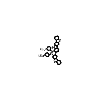 CC(C)(C)c1ccc(N2B3c4cc(C(C)(C)C)ccc4-n4c5cc6c(cc5c5ccc(c3c54)-c3cc4c(cc32)sc2ccccc24)sc2ccccc26)cc1